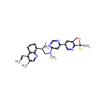 C=Cc1c(C)cnc2c(C(C)CN(C)c3cc(-c4cnc5c(c4)COC5(C)S)ncn3)cccc12